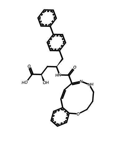 O=C(N[C@H](Cc1ccc(-c2ccccc2)cc1)C[C@@H](O)C(=O)O)C1=NNCCCOc2ccccc2C=C1